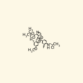 COc1ccc(CN(c2scnc2C(=O)OC(C)(C)C)S(=O)(=O)c2ccc(NCC(C)Cl)c(F)c2)cc1